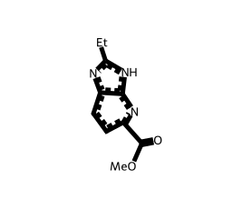 CCc1nc2ccc(C(=O)OC)nc2[nH]1